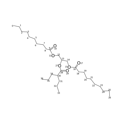 CCCCCCCCCC(=O)OCC(COC(=O)CCCCCCCCC)OC(=O)C(CCC)CCC